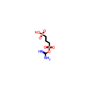 N=C(N)OS(=O)(=O)CCCS(=O)(=O)O